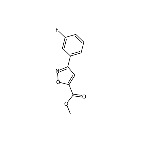 COC(=O)c1cc(-c2cccc(F)c2)no1